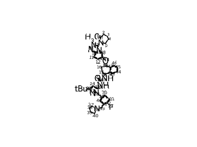 C[C@H]1CCCCN1c1nnc2ccc(O[C@@H]3CC[C@H](NC(=O)Nc4cc(C(C)(C)C)nn4-c4ccc(F)c(CN5CCCC5)c4)c4ccccc43)cn12